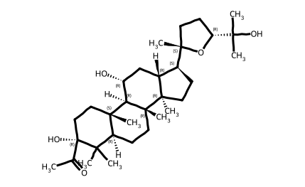 CC(=O)[C@@]1(O)CC[C@]2(C)[C@H]3[C@H](O)C[C@@H]4[C@@H]([C@]5(C)CC[C@H](C(C)(C)O)O5)CC[C@@]4(C)[C@]3(C)CC[C@H]2C1(C)C